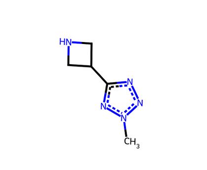 Cn1nnc(C2CNC2)n1